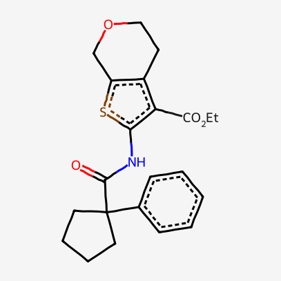 CCOC(=O)c1c(NC(=O)C2(c3ccccc3)CCCC2)sc2c1CCOC2